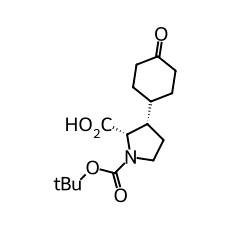 CC(C)(C)OC(=O)N1CC[C@@H](C2CCC(=O)CC2)[C@H]1C(=O)O